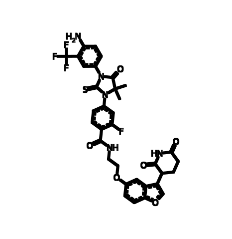 CC1(C)C(=O)N(c2ccc(N)c(C(F)(F)F)c2)C(=S)N1c1ccc(C(=O)NCCOc2ccc3occ(C4CCC(=O)NC4=O)c3c2)c(F)c1